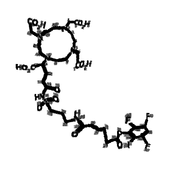 O=C(O)CN1CCN(CC(=O)O)CCN(C(CCC(=O)NS(=O)(=O)CCCNC(=O)CCCCC(=O)Oc2c(F)c(F)cc(F)c2F)C(=O)O)CCN(CC(=O)O)CC1